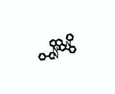 c1ccc(-c2ccnc(-n3c4cccc5ccc6c(c54)c3cc3c4ccccc4n(-c4ccccc4)c36)c2)cc1